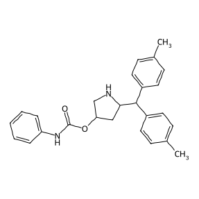 Cc1ccc(C(c2ccc(C)cc2)C2CC(OC(=O)Nc3ccccc3)CN2)cc1